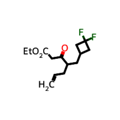 C=CCC(CC1CC(F)(F)C1)C(=O)CC(=O)OCC